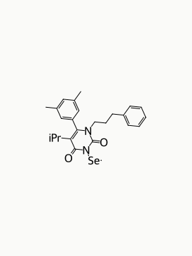 Cc1cc(C)cc(-c2c(C(C)C)c(=O)n([Se])c(=O)n2CCCc2ccccc2)c1